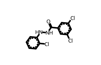 O=C(NNc1ccccc1Cl)c1cc(Cl)cc(Cl)c1